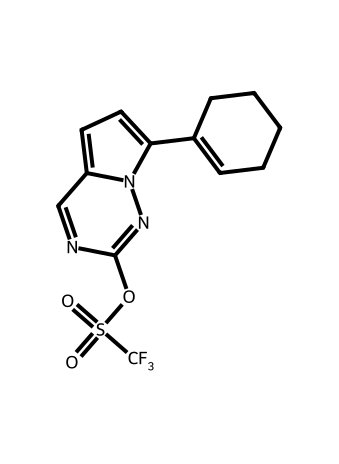 O=S(=O)(Oc1ncc2ccc(C3=CCCCC3)n2n1)C(F)(F)F